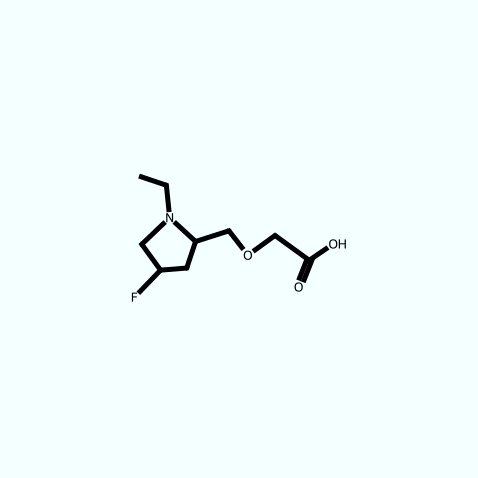 CCN1CC(F)CC1COCC(=O)O